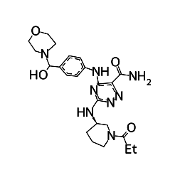 CCC(=O)N1CCC[C@@H](Nc2nnc(C(N)=O)c(Nc3ccc(C(O)N4CCOCC4)cc3)n2)C1